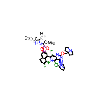 CCOC(=O)[C@H](C)NC(OC)[PH](=O)Oc1cc(-c2nc(Cl)c3c(N4CC5CC(C4)N5)nc(OCC45CCCN4CCC5)nc3c2F)c2c(F)c(F)ccc2c1